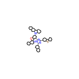 c1ccc2cc(C3N=C(c4ccc5c(c4)sc4ccccc45)N=C(c4cc(-n5c6ccccc6c6cc7ccccc7cc65)cc5oc6c7ccccc7ccc6c45)N3)ccc2c1